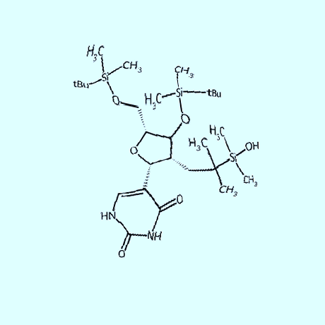 CC(C)(C[C@H]1C(O[Si](C)(C)C(C)(C)C)[C@@H](CO[Si](C)(C)C(C)(C)C)O[C@H]1c1c[nH]c(=O)[nH]c1=O)[Si](C)(C)O